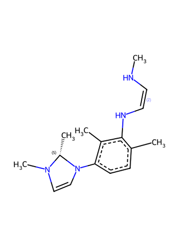 CN/C=C\Nc1c(C)ccc(N2C=CN(C)[C@@H]2C)c1C